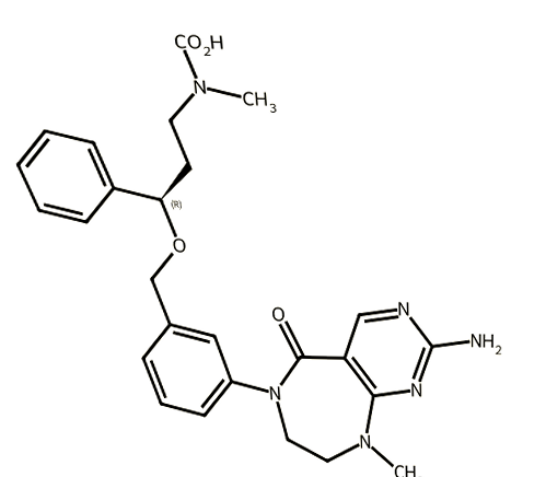 CN(CC[C@@H](OCc1cccc(N2CCN(C)c3nc(N)ncc3C2=O)c1)c1ccccc1)C(=O)O